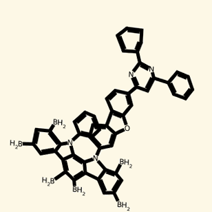 Bc1cc(B)c2c(c1)c1c(B)c(B)c3c4cc(B)cc(B)c4n(-c4ccc5c(c4)oc4cc(-c6cc(-c7ccccc7)nc(-c7ccccc7)n6)ccc45)c3c1n2-c1ccccc1